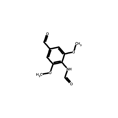 COc1cc(C=O)cc(OC)c1NC=O